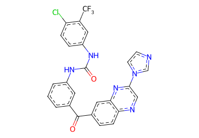 O=C(Nc1cccc(C(=O)c2ccc3ncc(-n4ccnc4)nc3c2)c1)Nc1ccc(Cl)c(C(F)(F)F)c1